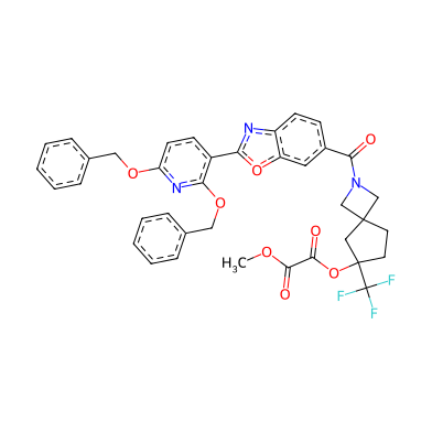 COC(=O)C(=O)OC1(C(F)(F)F)CCC2(CN(C(=O)c3ccc4nc(-c5ccc(OCc6ccccc6)nc5OCc5ccccc5)oc4c3)C2)C1